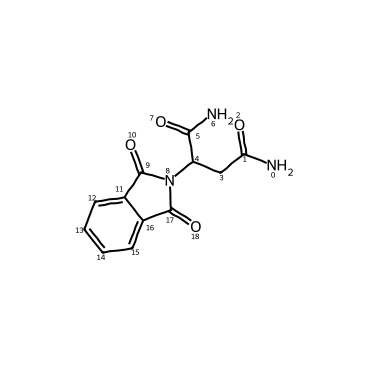 NC(=O)CC(C(N)=O)N1C(=O)c2ccccc2C1=O